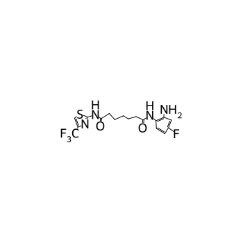 Nc1cc(F)ccc1NC(=O)CCCCCC(=O)Nc1nc(C(F)(F)F)cs1